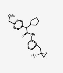 CC(=O)OCc1ccc(C(C(=O)Nc2cccc(CC3(C)CC3)c2)C2CCCC2)cc1